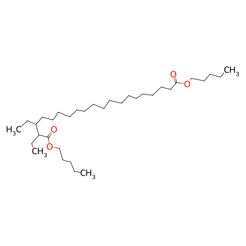 CCCCCOC(=O)CCCCCCCCCCCCCCCCC(CC)C(CC)C(=O)OCCCCC